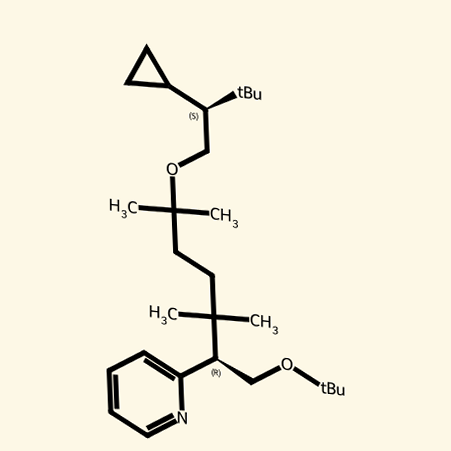 CC(C)(C)OC[C@@H](c1ccccn1)C(C)(C)CCC(C)(C)OC[C@@H](C1CC1)C(C)(C)C